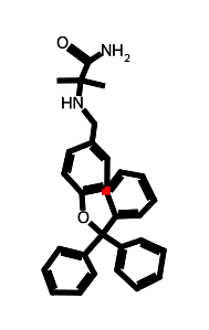 CC(C)(NCc1ccc(OC(c2ccccc2)(c2ccccc2)c2ccccc2)cc1)C(N)=O